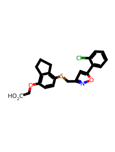 O=C(O)COc1ccc(SCc2cc(-c3ccccc3Cl)on2)c2c1CCC2